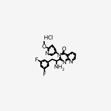 COc1ccc(-n2c(C(N)Cc3cc(F)cc(F)c3)nc3ncccc3c2=O)cn1.Cl